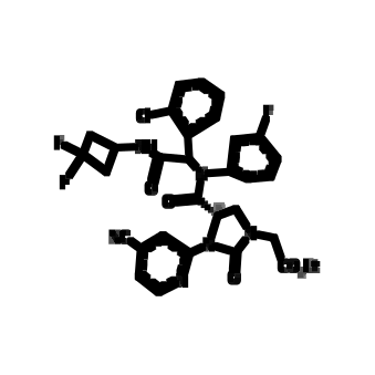 CCOC(=O)CN1C[C@@H](C(=O)N(c2cccc(F)c2)C(C(=O)NC2CC(F)(F)C2)c2ccccc2Cl)N(c2cc(C#N)ccn2)C1=O